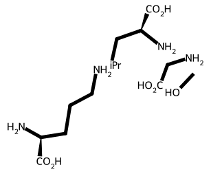 CC(C)C[C@H](N)C(=O)O.CO.NCC(=O)O.NCCC[C@H](N)C(=O)O